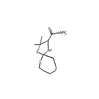 CC1(C)SC2(CCCCC2)NC1C(N)=O